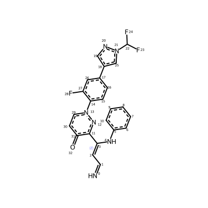 N=C/C=C(\Nc1ccccc1)c1nn(-c2ccc(-c3cnn(C(F)F)c3)cc2F)ccc1=O